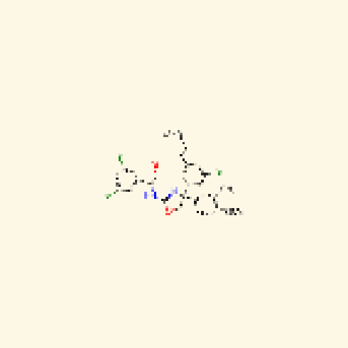 COCCc1cc(Br)cc(C2(c3ccc(OC)c(C)c3)COC(NC(CO)c3cc(Br)cc(Br)c3)=N2)c1